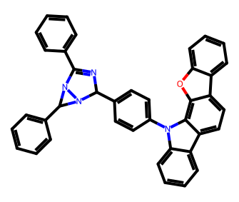 c1ccc(C2=NC(c3ccc(-n4c5ccccc5c5ccc6c7ccccc7oc6c54)cc3)N3C(c4ccccc4)N23)cc1